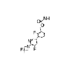 CNC(=O)OCc1cccc(-c2cnc(N3CC(C)(F)C3)c(F)c2)c1F